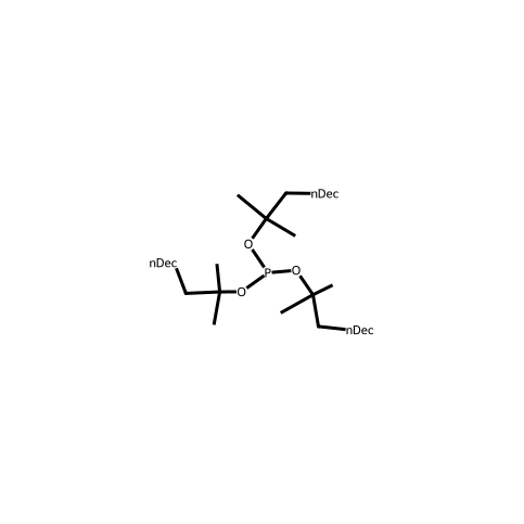 CCCCCCCCCCCC(C)(C)OP(OC(C)(C)CCCCCCCCCCC)OC(C)(C)CCCCCCCCCCC